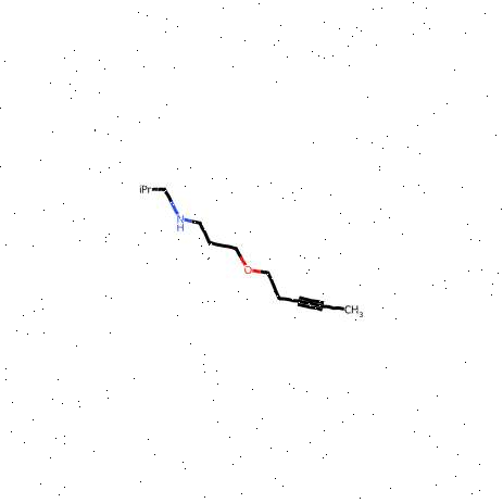 CC#CCCOCCCNCC(C)C